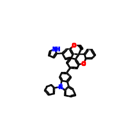 C1=CCCC(n2c3ccccc3c3cc(-c4ccc5c(c4)Oc4ccccc4C54c5ccccc5Oc5cc(-c6ccc[nH]6)ccc54)ccc32)=C1